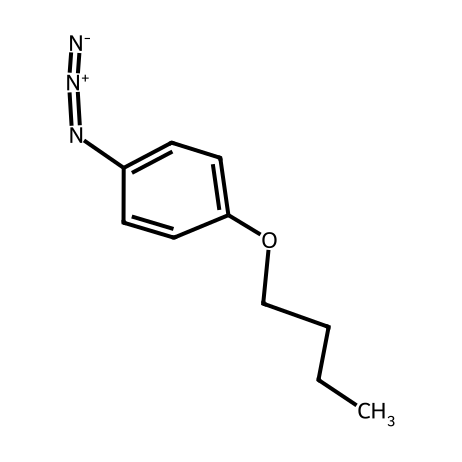 CCCCOc1ccc(N=[N+]=[N-])cc1